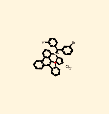 Brc1cccc([C](c2cccc(Br)c2)=[Zr+2]([c]2cccc3c2c2c(c4ccccc43)-c3ccccc3C2)[CH]2C=CC=C2)c1.[Cl-].[Cl-]